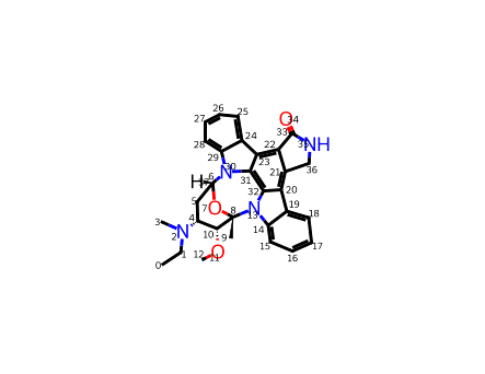 CCN(C)[C@@H]1C[C@H]2O[C@@](C)([C@@H]1OC)n1c3ccccc3c3c4c(c5c6ccccc6n2c5c31)C(=O)NC4